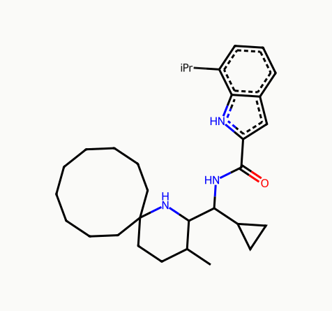 CC(C)c1cccc2cc(C(=O)NC(C3CC3)C3NC4(CCCCCCCCC4)CCC3C)[nH]c12